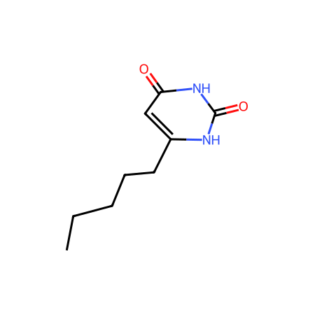 CCCCCc1cc(=O)[nH]c(=O)[nH]1